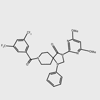 COc1cc(OC)nc(N2CN(c3ccccc3)C3(CCN(C(=O)c4cc(C(F)(F)F)cc(C(F)(F)F)c4)CC3)C2=O)n1